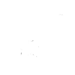 COc1ccc(Cc2cc([C@]34OC[C@](CO)(O3)[C@@H](O)[C@H](O)[C@H]4O)ccc2F)cc1